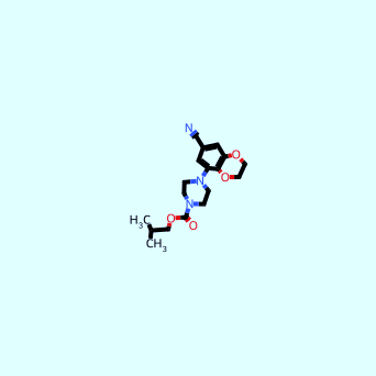 CC(C)COC(=O)N1CCN(c2cc(C#N)cc3c2OCCO3)CC1